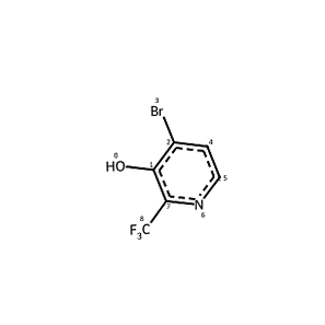 Oc1c(Br)c[c]nc1C(F)(F)F